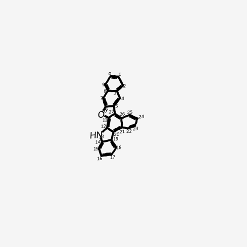 c1ccc2cc3c(cc2c1)oc1c2[nH]c4ccccc4c2c2ccccc2c31